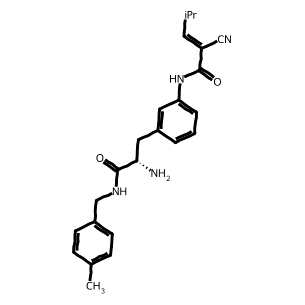 Cc1ccc(CNC(=O)[C@@H](N)Cc2cccc(NC(=O)C(C#N)=CC(C)C)c2)cc1